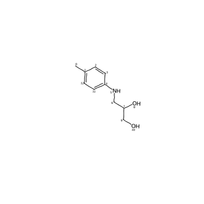 Cc1ccc(NCC(O)CO)cc1